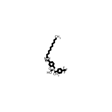 CCCCCCCCCCCc1noc(-c2ccc(CN(C(=O)O)C(C)c3ccc(C(F)(F)F)cc3)cc2)n1